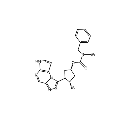 CC[C@@H]1C[C@H](OC(=O)N(Cc2ccccc2)C(C)C)CC1c1nnc2cnc3[nH]ccc3n12